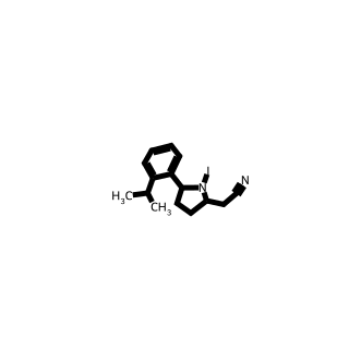 CC(C)c1ccccc1C1CCC(CC#N)N1I